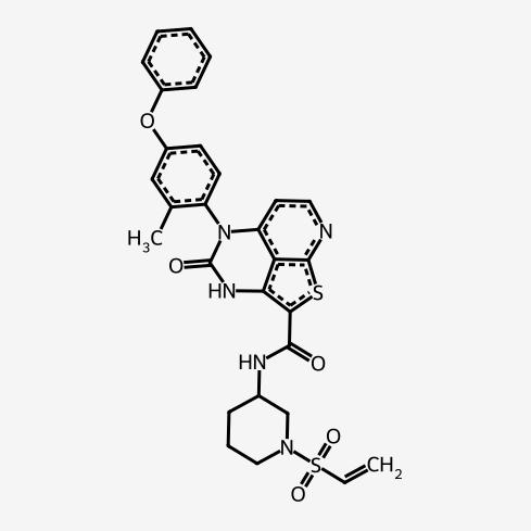 C=CS(=O)(=O)N1CCCC(NC(=O)c2sc3nccc4c3c2NC(=O)N4c2ccc(Oc3ccccc3)cc2C)C1